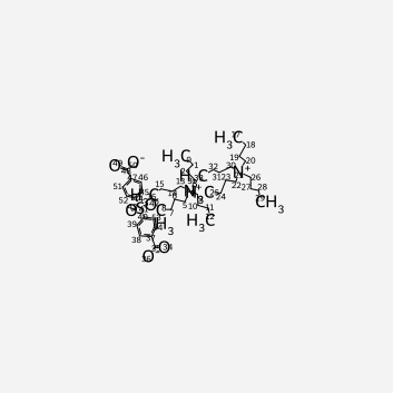 CCCC[N+](CCCC)(CCCC)CCCC.CCCC[N+](CCCC)(CCCC)CCCC.O=C([O-])c1ccc(S(=O)(=O)c2ccc(C(=O)[O-])cc2)cc1